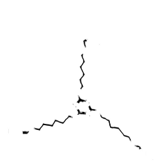 C=COCCCCCCOc1nc(OCCCCCCOC=C)nc(OCCCCCCOC=C)n1